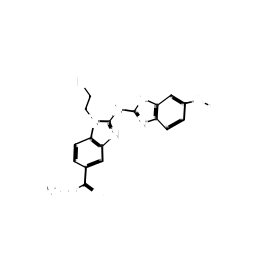 COC(=O)c1ccc2c(c1)nc(Nc1nc3ccc(OC(F)(F)F)cc3s1)n2CCF